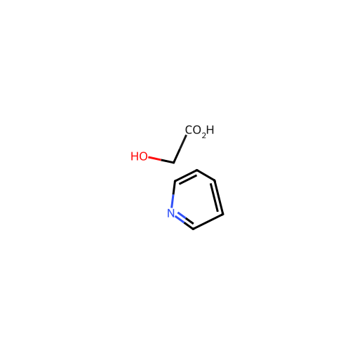 O=C(O)CO.c1ccncc1